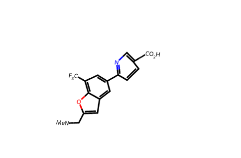 CNCc1cc2cc(-c3ccc(C(=O)O)cn3)cc(C(F)(F)F)c2o1